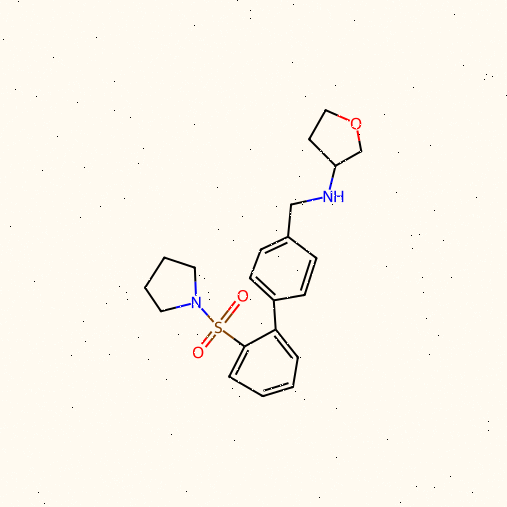 O=S(=O)(c1ccccc1-c1ccc(CNC2CCOC2)cc1)N1CCCC1